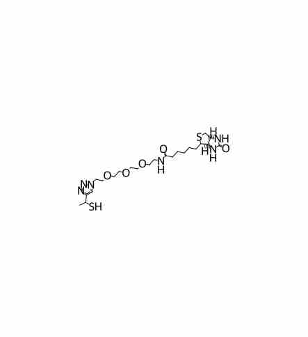 CC(S)c1cn(CCOCCOCCOCCNC(=O)CCCCCC2SC[C@@H]3NC(=O)N[C@H]23)nn1